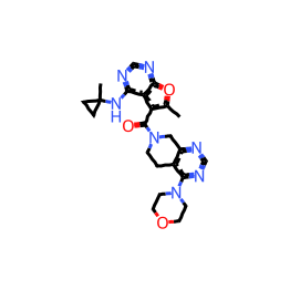 Cc1oc2ncnc(NC3(C)CC3)c2c1C(=O)N1CCc2c(ncnc2N2CCOCC2)C1